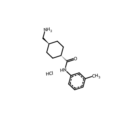 Cc1cccc(NC(=O)[C@H]2CC[C@H](CN)CC2)c1.Cl